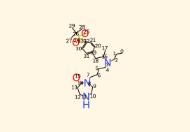 CCCN(CCCCN1CCNCCC1=O)C(C)Cc1ccc(S(=O)(=O)C(C)(C)C)cc1